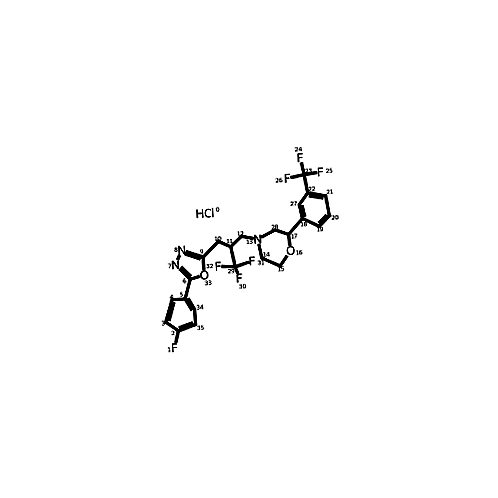 Cl.Fc1ccc(-c2nnc(CC(CN3CCOC(c4cccc(C(F)(F)F)c4)C3)C(F)(F)F)o2)cc1